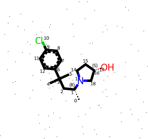 C[C@H](CC(C)(C)c1ccc(Cl)cc1)N1CC[C@H](O)C1